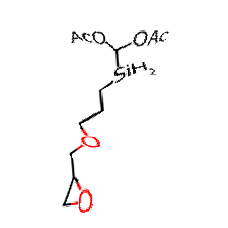 CC(=O)OC(OC(C)=O)[SiH2]CCCOCC1CO1